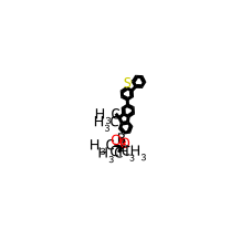 CC1(C)c2cc(B3OC(C)(C)C(C)(C)O3)ccc2-c2ccc(-c3ccc4sc5ccccc5c4c3)cc21